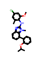 COc1cc(Cl)cc(C)c1Nc1nc2cccc(-c3ccccc3OC(C)C)c2n1C